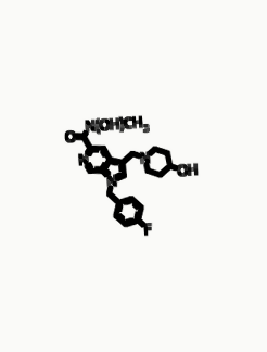 CN(O)C(=O)c1cc2c(CN3CCC(O)CC3)cn(Cc3ccc(F)cc3)c2cn1